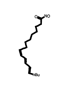 CCCC/C=C/C=C/C=C\CCCCCCCC(=O)N=O